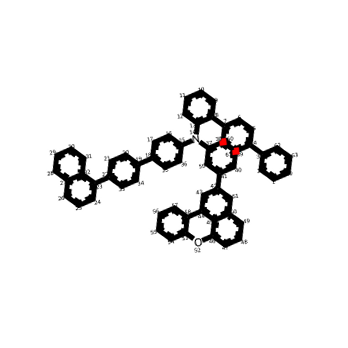 c1ccc(-c2ccc(-c3ccccc3N(c3ccc(-c4ccc(-c5cccc6ccccc56)cc4)cc3)c3cccc(-c4cc5c6c(cccc6c4)Oc4ccccc4-5)c3)cc2)cc1